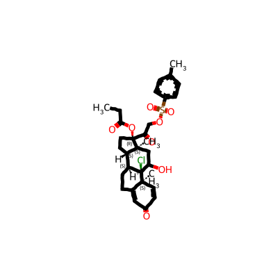 CCC(=O)O[C@]1(C(=O)COS(=O)(=O)c2ccc(C)cc2)CC[C@H]2[C@@H]3CCC4=CC(=O)C=C[C@]4(C)[C@@]3(Cl)C(O)C[C@@]21C